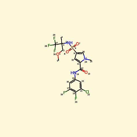 COCC(C)(NS(=O)(=O)c1cc(C(=O)Nc2cc(F)c(F)c(Cl)c2)n(C)c1)C(F)(F)F